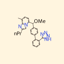 CCCc1cn2c(C(OC)c3ccc(-c4ccccc4-c4nnn[nH]4)cc3)ccc(C)c2n1